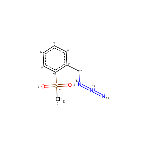 CS(=O)(=O)c1ccccc1CN=[N+]=[N-]